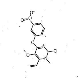 C=CC1=C(OC)C(Oc2cccc([N+](=O)[O-])c2)=NC(Cl)N1C